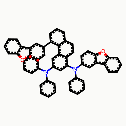 c1ccc(N(c2ccccc2)c2cc(N(c3ccccc3)c3ccc4oc5ccccc5c4c3)c3ccc4cccc(-c5ccc6oc7ccccc7c6c5)c4c3c2)cc1